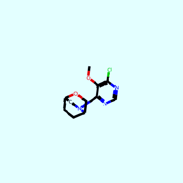 COc1c(Cl)ncnc1N1CC2CCC1CO2